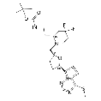 CSc1ncnn2c([C@H]3CC[C@@H](CN4CCC(F)(F)C[C@H]4CCNC(=O)OC(C)(C)C)O3)ccc12